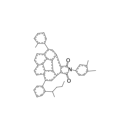 CCCC(C)c1ccccc1-c1cc2c3c(=O)n(-c4ccc(C)c(C)c4)c(=O)c3c3cc(-c4ccccc4C)c4ccc5ccc1c1c5c4c3c21